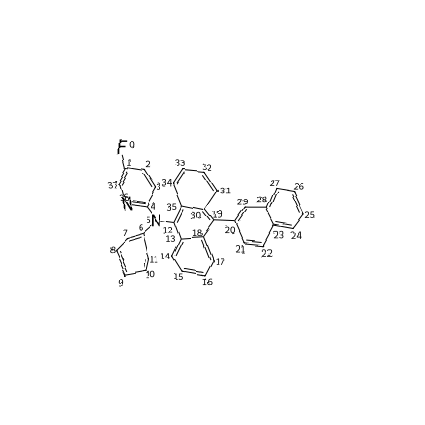 Fc1ccc(N(c2ccccc2)c2c3ccccc3c(-c3ccc4ccccc4c3)c3ccccc23)nc1